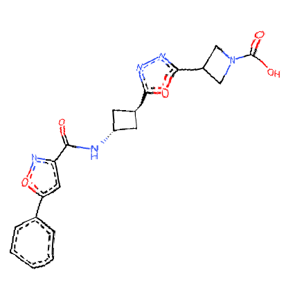 O=C(N[C@H]1C[C@H](c2nnc(C3CN(C(=O)O)C3)o2)C1)c1cc(-c2ccccc2)on1